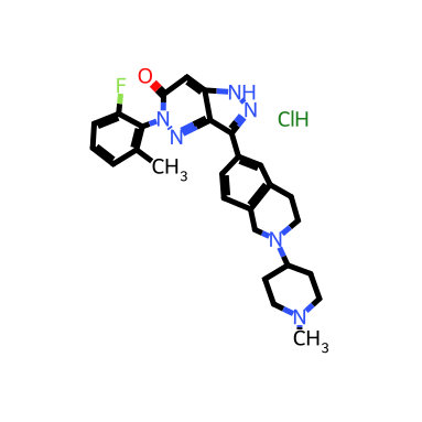 Cc1cccc(F)c1-n1nc2c(-c3ccc4c(c3)CCN(C3CCN(C)CC3)C4)n[nH]c2cc1=O.Cl